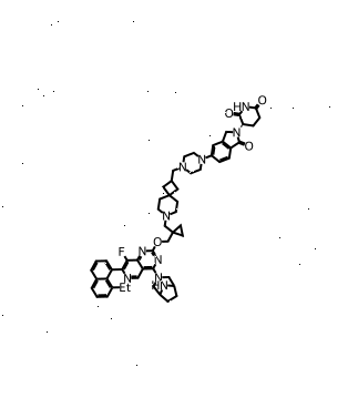 CCc1cccc2cccc(-c3ncc4c(N5CC6CCC(C5)N6)nc(OCC5(CN6CCC7(CC6)CC(CN6CCN(c8ccc9c(c8)CN([C@H]8CCC(=O)NC8=O)C9=O)CC6)C7)CC5)nc4c3F)c12